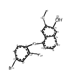 COc1cc2c(Oc3ccc(Br)cc3F)ncnc2cc1O